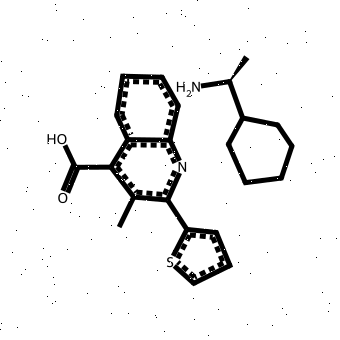 C[C@H](N)C1CCCCC1.Cc1c(-c2cccs2)nc2ccccc2c1C(=O)O